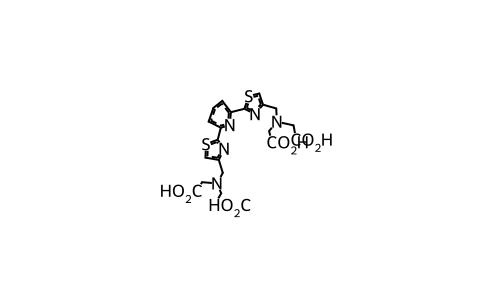 O=C(O)CN(CC(=O)O)Cc1csc(-c2cccc(-c3nc(CN(CC(=O)O)CC(=O)O)cs3)n2)n1